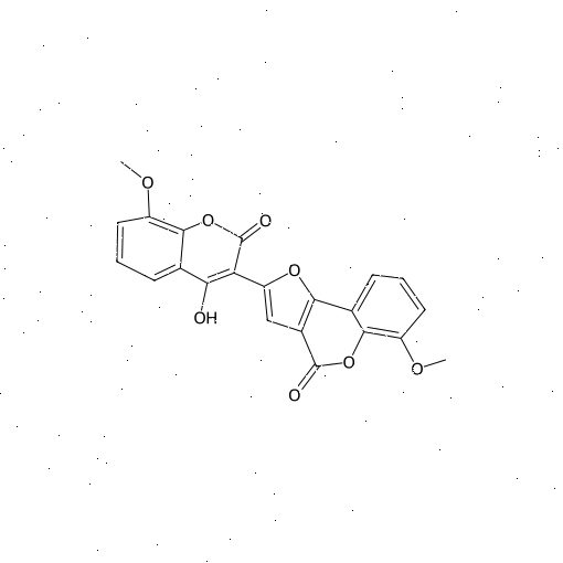 COc1cccc2c(O)c(-c3cc4c(=O)oc5c(OC)cccc5c4o3)c(=O)oc12